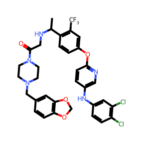 CC(NCC(=O)N1CCN(Cc2ccc3c(c2)OCO3)CC1)c1ccc(Oc2ccc(Nc3ccc(Cl)c(Cl)c3)cn2)cc1C(F)(F)F